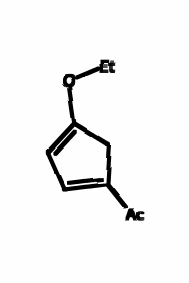 CCOC1=CC=C(C(C)=O)C1